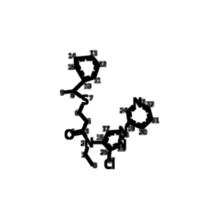 CCN(C(=O)CCSC(C)c1ccccc1)c1cn(-c2cccnc2)nc1Cl